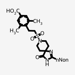 CCCCCCCCCC1=NC2(CCN(S(=O)(=O)CCc3c(C)cc(C(=O)O)cc3C)CC2)C(=O)N1